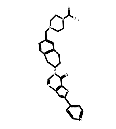 CC(=O)N1CCN(Cc2ccc3c(c2)CC[C@H](n2cnc4cc(-c5ccncc5)sc4c2=O)C3)CC1